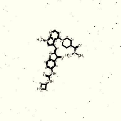 CN(C)C(=O)C1CCN(c2ccnc3c2c(C=C2Oc4ccc(NC(=O)NC5CNC5)cc4C2=O)cn3C)CC1